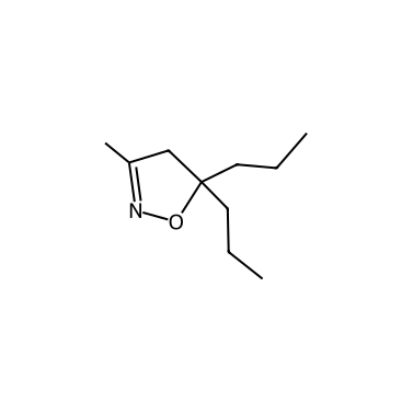 CCCC1(CCC)CC(C)=NO1